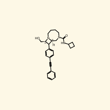 O=C(NC1CCC1)N1CCCCN2[C@H](CO)C(c3ccc(C#Cc4ccccc4)cc3)[C@@H]2C1